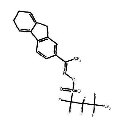 O=S(=O)(O/N=C(/c1ccc2c(c1)CC1=CCCC=C12)C(F)(F)F)C(F)(F)C(F)(F)C(F)(F)C(F)(F)F